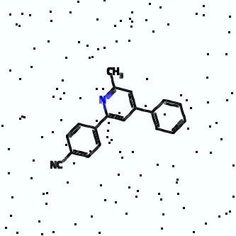 Cc1cc(-c2ccccc2)cc(-c2ccc(C#N)cc2)n1